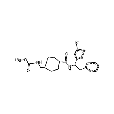 CC(C)(C)OC(=O)NC[C@H]1CC[C@H](C(=O)NC(Cc2ccccc2)c2cc(Br)cs2)CC1